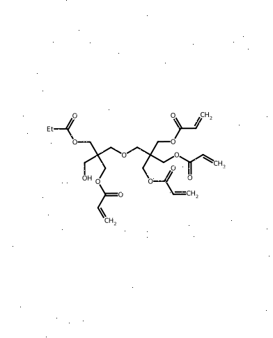 C=CC(=O)OCC(COCC(CO)(COC(=O)C=C)COC(=O)CC)(COC(=O)C=C)COC(=O)C=C